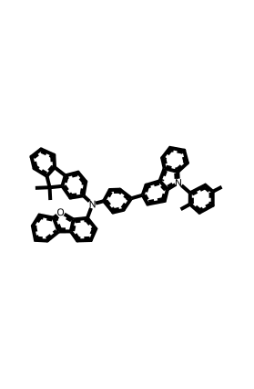 Cc1ccc(C)c(-n2c3ccccc3c3cc(-c4ccc(N(c5ccc6c(c5)C(C)(C)c5ccccc5-6)c5cccc6c5oc5ccccc56)cc4)ccc32)c1